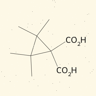 CC1(C)C(C)(C)C1(C(=O)O)C(=O)O